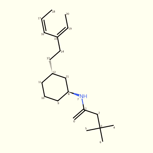 C=C(CC(C)(C)C)N[C@H]1CCC[C@H](CCC(/C=C\C)=C/C)C1